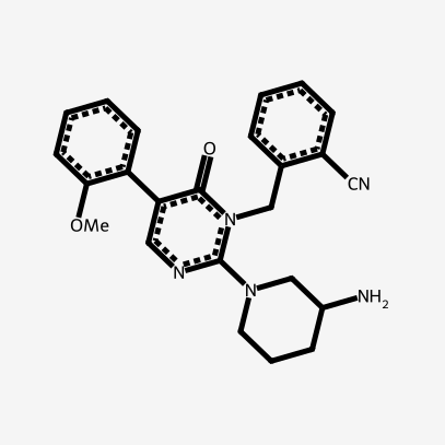 COc1ccccc1-c1cnc(N2CCCC(N)C2)n(Cc2ccccc2C#N)c1=O